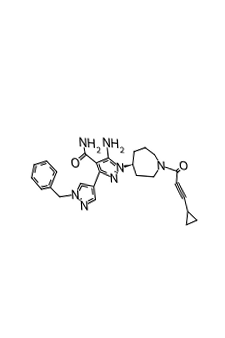 NC(=O)c1c(-c2cnn(Cc3ccccc3)c2)nn([C@H]2CCCN(C(=O)C#CC3CC3)CC2)c1N